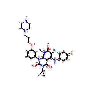 CN1CCN(CCCOc2cccc(-n3c(=O)n(C4CC4)c(=O)c4c(Nc5ccc(Br)cc5F)cc(=O)n(C)c43)c2)CC1